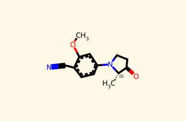 COc1cc(N2CCC(=O)[C@@H]2C)ccc1C#N